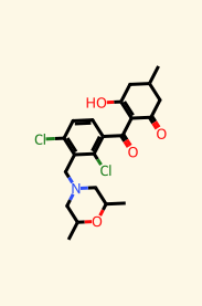 CC1CC(=O)C(C(=O)c2ccc(Cl)c(CN3CC(C)OC(C)C3)c2Cl)=C(O)C1